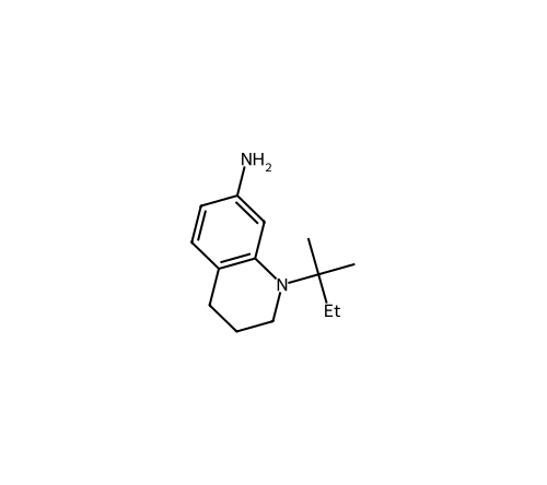 CCC(C)(C)N1CCCc2ccc(N)cc21